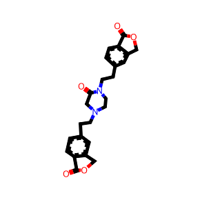 O=C1OCc2cc(CCN3CCN(CCc4ccc5c(c4)COC5=O)C(=O)C3)ccc21